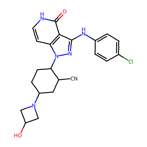 N#CC1CC(N2CC(O)C2)CCC1n1nc(Nc2ccc(Cl)cc2)c2c(=O)[nH]ccc21